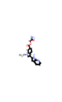 Cn1cc(-c2cc3cccnc3[nH]2)c2ccc(C(=O)OCC(N)=O)cc21